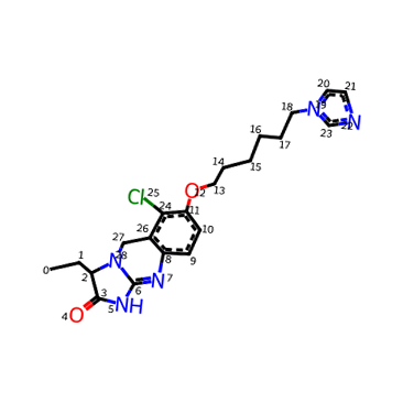 CCC1C(=O)NC2=Nc3ccc(OCCCCCCn4ccnc4)c(Cl)c3CN21